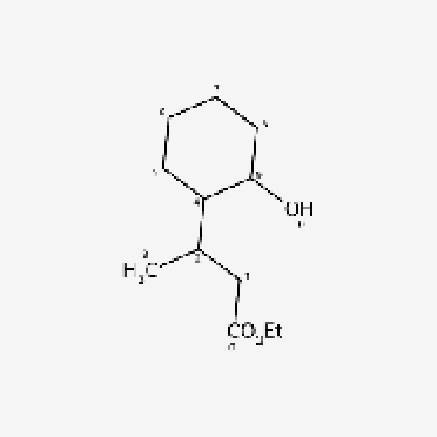 CCOC(=O)CC(C)C1CCCCC1O